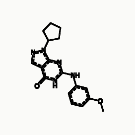 COc1cccc(Nc2nc3c(cnn3C3CCCC3)c(=O)[nH]2)c1